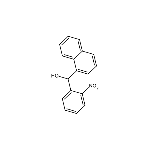 O=[N+]([O-])c1ccccc1C(O)c1cccc2ccccc12